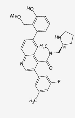 COCc1c(O)cccc1-c1ccc2ncc(-c3cc(C)cc(F)c3)c(C(=O)N(C)C[C@@H]3CCCN3)c2c1